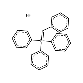 C(c1ccccc1)=P(c1ccccc1)(c1ccccc1)c1ccccc1.F